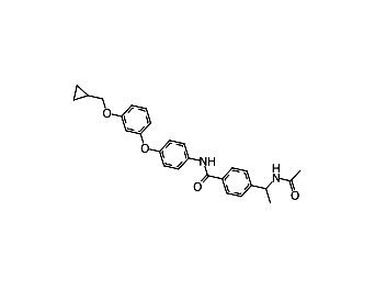 CC(=O)NC(C)c1ccc(C(=O)Nc2ccc(Oc3cccc(OCC4CC4)c3)cc2)cc1